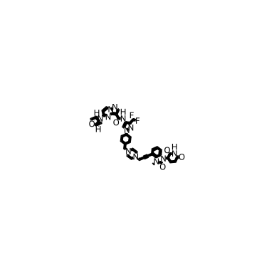 Cn1c(=O)n(C2CCC(=O)NC2=O)c2cccc(C#CCN3CCN(CC4CCC(n5cc(NC(=O)c6cnn7ccc(N8C[C@H]9C[C@@H]8CO9)nc67)c(C(F)F)n5)CC4)CC3)c21